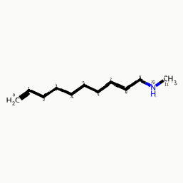 C=CCCCCCCCCNC